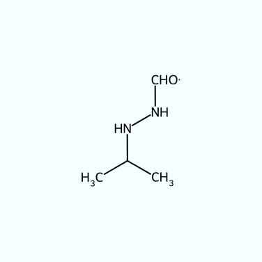 CC(C)NN[C]=O